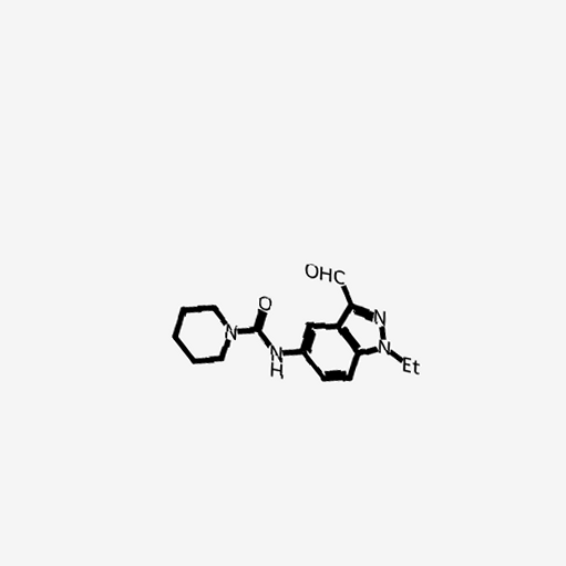 CCn1nc(C=O)c2cc(NC(=O)N3CCCCC3)ccc21